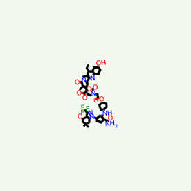 CCc1c2c(nc3ccc(O)cc13)-c1cc3c(c(=O)n1C2)COC(=O)[C@]31CCN(CC(=O)O[C@H]2CC[C@H](Nc3cc(-n4nc(C(F)(F)F)c5c4CC(C)(C)CC5=O)ccc3C(N)=O)CC2)C(=O)O1